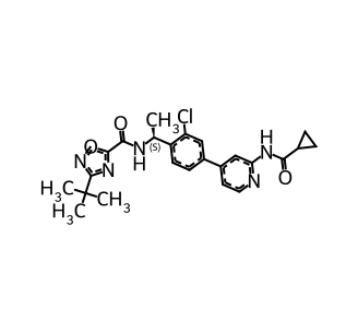 C[C@H](NC(=O)c1nc(C(C)(C)C)no1)c1ccc(-c2ccnc(NC(=O)C3CC3)c2)cc1Cl